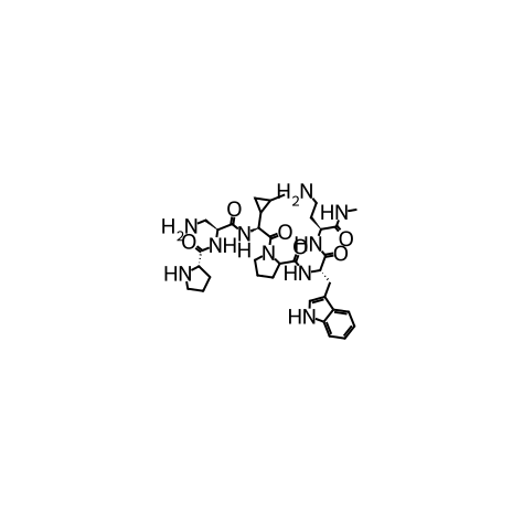 CNC(=O)[C@H](CCN)NC(=O)[C@H](Cc1c[nH]c2ccccc12)NC(=O)C1CCCN1C(=O)[C@@H](NC(=O)[C@H](CN)NC(=O)[C@@H]1CCCN1)C1CC1C